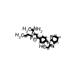 C=C(N)N(CC(=O)c1ccc(-n2c(CO)nc3cccnc32)cc1)C(F)CCC